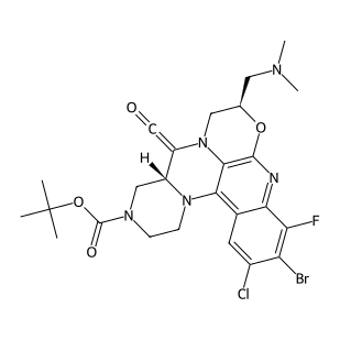 CN(C)C[C@@H]1CN2C(=C=O)[C@H]3CN(C(=O)OC(C)(C)C)CCN3c3c2c(nc2c(F)c(Br)c(Cl)cc32)O1